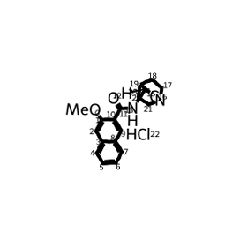 COc1cc2ccccc2cc1C(=O)N[C@H]1CN2CCC1CC2.Cl